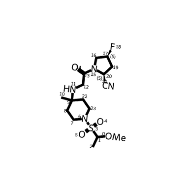 COC(C)S(=O)(=O)N1CCC(C)(NCC(=O)N2C[C@@H](F)C[C@H]2C#N)CC1